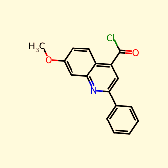 COc1ccc2c(C(=O)Cl)cc(-c3ccccc3)nc2c1